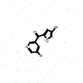 O=C(c1cncc(Br)c1)c1cc(Br)c[nH]1